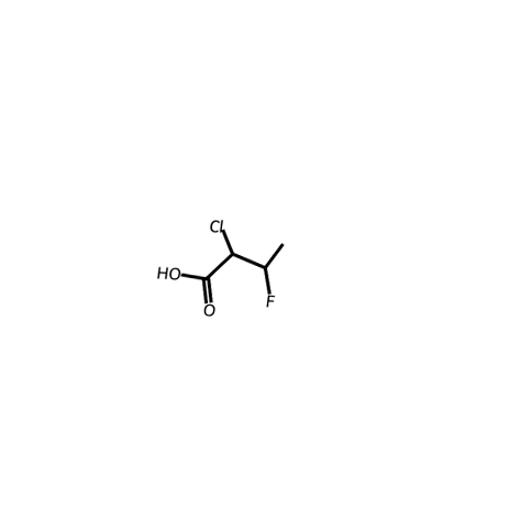 CC(F)C(Cl)C(=O)O